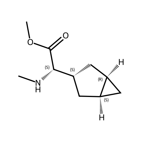 CN[C@H](C(=O)OC)[C@@H]1C[C@H]2C[C@H]2C1